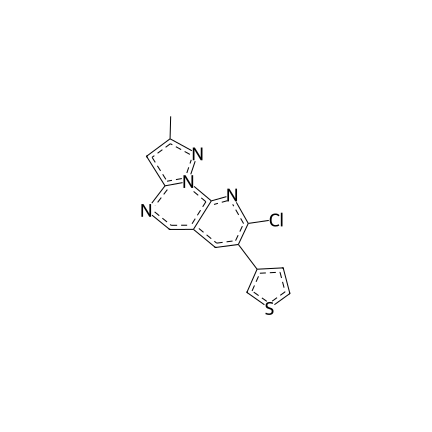 Cc1cc2ncc3cc(-c4ccsc4)c(Cl)nc3n2n1